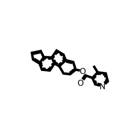 Cc1ccncc1C(=O)OC1=CCc2c(ccc3c4c(ccc23)=CC=C4)=C1